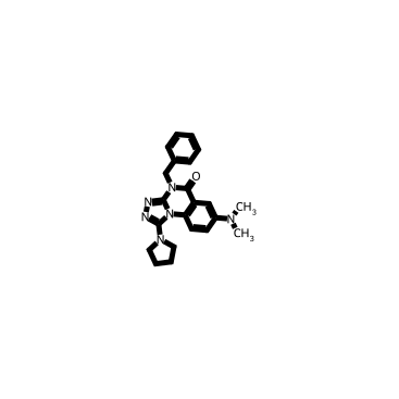 CN(C)c1ccc2c(c1)c(=O)n(Cc1ccccc1)c1nnc(N3CCCC3)n21